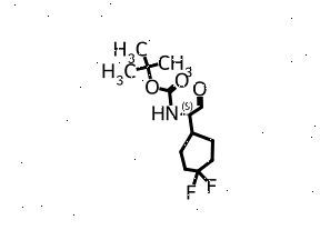 CC(C)(C)OC(=O)N[C@H](C=O)C1CCC(F)(F)CC1